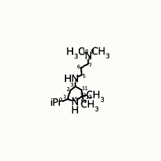 CC(C)C1CC(NCCCN(C)C)CC(C)(C)N1